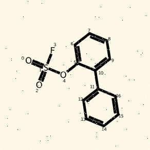 O=S(=O)(F)Oc1ccccc1-c1ccccc1